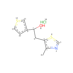 Cc1ncsc1CC(O)c1ccsc1.Cl